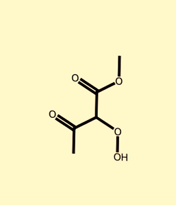 COC(=O)C(OO)C(C)=O